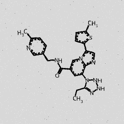 CCC1=NNNN1c1cc(C(=O)NCc2ccc(C)nc2)cn2c(-c3ccc(C)s3)cnc12